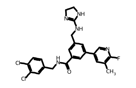 Cc1cc(-c2cc(CNC3=NCCN3)cc(C(=O)NCc3ccc(Cl)c(Cl)c3)c2)cnc1F